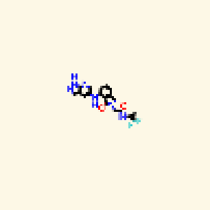 O=C(CN1Cc2cccc(Nc3cnc4[nH]ncc4c3)c2C1=O)NC1CC1(F)F